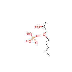 CCCCCOCC(C)O.O=P(O)(O)O